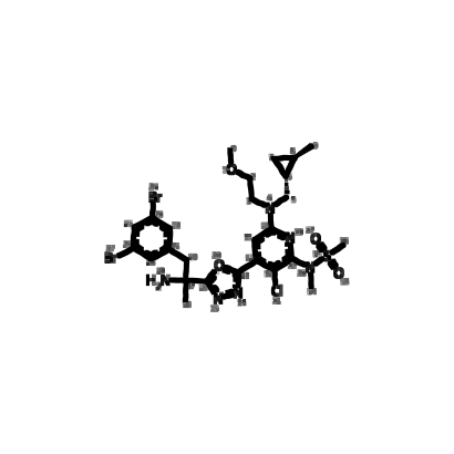 COCCN(C[C@@H]1C[C@H]1C)c1cc(-c2nnc(C(C)(N)Cc3cc(Br)cc(Br)c3)o2)c(Cl)c(N(C)S(C)(=O)=O)n1